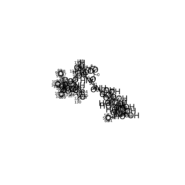 CCC(=O)O[C@H](CC)CC(=O)NC1[C@H](OCCNC(=O)CCC(=O)NCCO[C@@H]2OC(CO)[C@@H](O[C@@H]3OC(CO)[C@H](O)[C@H](O[C@]4(C(=O)O)C[C@@H](O)[C@@H](NC(=O)Cc5ccccc5)C([C@H](O)[C@H](O)CO)O4)C3O)[C@H](O)C2O)OC(CO[C@@H]2OC(COCc3ccccc3)[C@@H](OP(=O)(OCc3ccccc3)OCc3ccccc3)[C@H](OC(=O)CC)C2NC(=O)C[C@@H](CC)OC(=O)CC)[C@@H](C)[C@@H]1OC(=O)CC